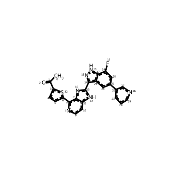 CC(=O)c1ccc(-c2nccc3[nH]c(-c4n[nH]c5c(F)cc(-c6cccnc6)cc45)nc23)s1